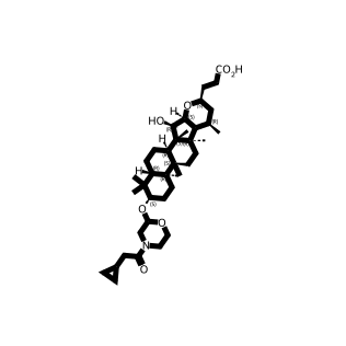 C[C@@H]1C[C@H](CCC(=O)O)O[C@H]2C1[C@@]1(C)CC[C@@]34C[C@@]35CC[C@H](OC3CN(C(=O)CC6CC6)CCO3)C(C)(C)[C@@H]5CC[C@H]4[C@]1(C)[C@H]2O